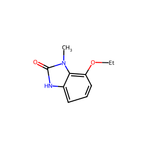 CCOc1cccc2[nH]c(=O)n(C)c12